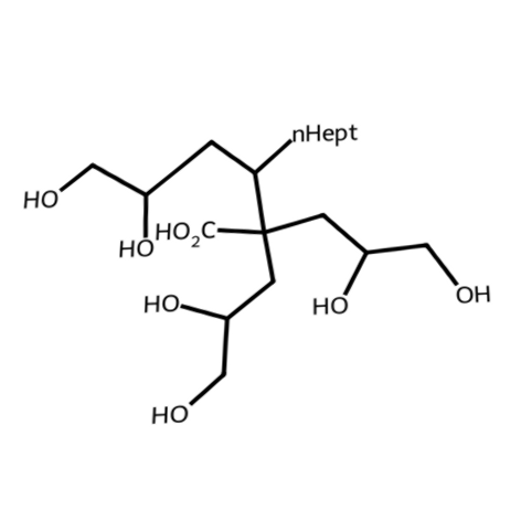 CCCCCCCC(CC(O)CO)C(CC(O)CO)(CC(O)CO)C(=O)O